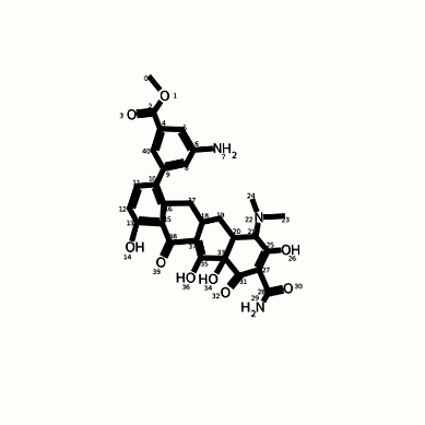 COC(=O)c1cc(N)cc(-c2ccc(O)c3c2CC2CC4C(N(C)C)C(O)=C(C(N)=O)C(=O)C4(O)C(O)=C2C3=O)c1